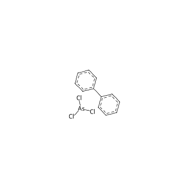 Cl[As](Cl)Cl.c1ccc(-c2ccccc2)cc1